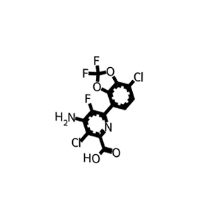 Nc1c(F)c(-c2ccc(Cl)c3c2OC(F)(F)O3)nc(C(=O)O)c1Cl